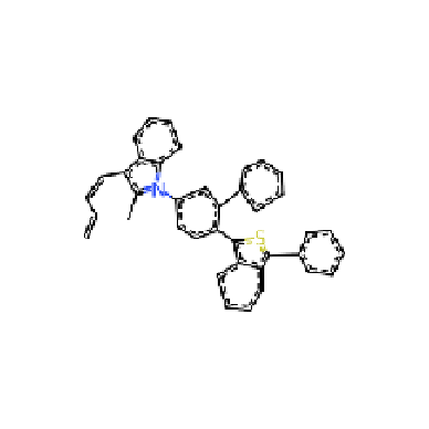 C=C/C=C\c1c(C)n(-c2ccc(-c3sc(-c4ccccc4)c4ccccc34)c(-c3ccccc3)c2)c2ccccc12